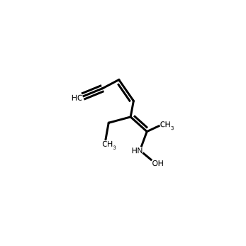 C#C/C=C\C(CC)=C(/C)NO